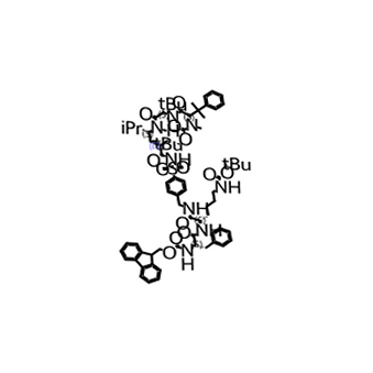 C/C(=C\[C@H](C(C)C)N(C)C(=O)[C@@H](NC(=O)[C@@H](N(C)C(=O)OC(C)(C)C)C(C)(C)c1ccccc1)C(C)(C)C)C(=O)NS(=O)(=O)c1ccc(CNC(=O)[C@H](CCCCNC(=O)OC(C)(C)C)NC(=O)[C@H](Cc2ccccc2)NC(=O)OCC2c3ccccc3-c3ccccc32)cc1